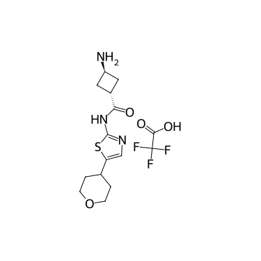 N[C@H]1C[C@H](C(=O)Nc2ncc(C3CCOCC3)s2)C1.O=C(O)C(F)(F)F